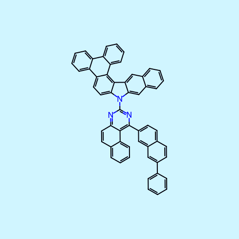 c1ccc(-c2ccc3ccc(-c4nc(-n5c6cc7ccccc7cc6c6c7c8ccccc8c8ccccc8c7ccc65)nc5ccc6ccccc6c45)cc3c2)cc1